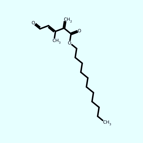 C=C(C(=O)OCCCCCCCCCCC)C(C)=CC=O